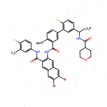 COc1ccc(-c2cc(C(NC(=O)C3CCOCC3)C(=O)O)ccc2F)cc1C(=O)Nc1cc2cc(Br)c(Br)cc2cc1C(=O)Nc1ccc(F)c(C(F)(F)F)c1